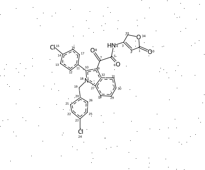 O=C1C=C(NC(=O)C(=O)c2c(-c3ccc(Cl)cc3)n(Cc3ccc(Cl)cc3)c3ccccc23)CO1